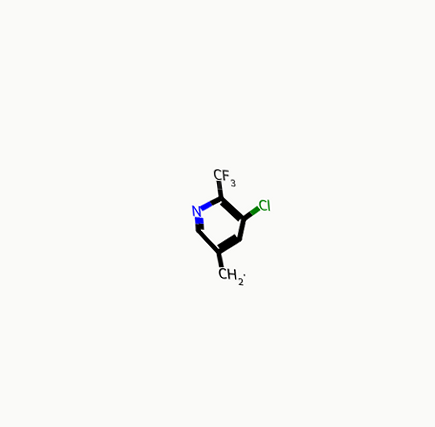 [CH2]c1cnc(C(F)(F)F)c(Cl)c1